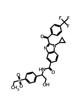 CCS(=O)(=O)c1ccc(C(CO)NC(=O)c2ccc3c(c2)nc(C(=O)c2ccc(C(F)(F)F)cc2)n3C2CC2)cc1